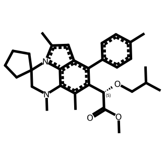 COC(=O)[C@@H](OCC(C)C)c1c(C)c2c3c(cc(C)n3C3(CCCC3)CN2C)c1-c1ccc(C)cc1